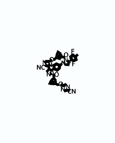 Cc1ccc(C2C(c3nc(OCC4CC(C(=O)N5N=CC[C@H]5c5cc(F)c(C)cc5F)C5CC4C5)cnc3C#N)C=NN2C(=O)C2CC(COc3cnc(C#N)cn3)C3CC2C3)cc1